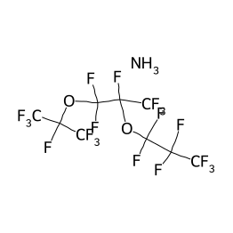 FC(F)(F)C(F)(F)C(F)(F)OC(F)(C(F)(F)F)C(F)(F)OC(F)(C(F)(F)F)C(F)(F)F.N